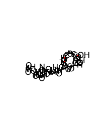 C=C1CC2CC[C@]34C[C@@H](O)C(O3)[C@H]3CC(O4)[C@H]4OC(CC[C@@H]4O3)CC(=O)CC3C(C[C@H]4O[C@@H](CCC1O2)C[C@@H](C)C4=C)OC(CC(O)CNC(=O)OCc1ccc(NC(=O)C(CC(N)=O)NC(=O)[C@H](C)NC(=O)C(C)NC(=O)CCOCCN2C(=O)C=CC2=O)cc1)[C@@H]3OC